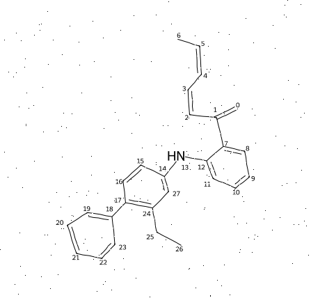 C=C(/C=C\C=C/C)c1ccccc1Nc1ccc(-c2ccccc2)c(CC)c1